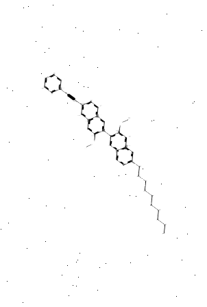 CCCCCCCCCCc1ccc2cc(-c3cc4ccc(C#Cc5ccccc5)cc4cc3OC)c(OC)cc2c1